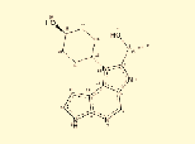 C[C@@H](O)c1nc2cnc3[nH]ccc3c2n1[C@H]1CC[C@H](O)CC1